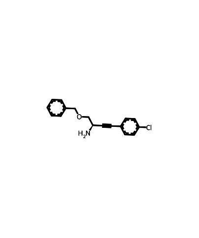 N[C@H](C#Cc1ccc(Cl)cc1)COCc1ccccc1